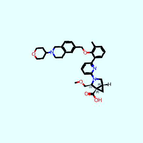 COC[C@H]1N(c2cccc(-c3cccc(C)c3OCc3ccc4c(c3)CCN(C3CCOCC3)C4)n2)C[C@@H]2C[C@@]21C(=O)O